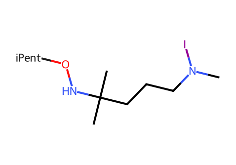 CCCC(C)ONC(C)(C)CCCN(C)I